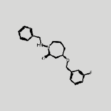 O=C1CC(OCc2cccc(F)c2)CCCN1NCc1ccccc1